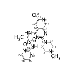 CC(Nc1nc(N2CCN(C)CC2)nc2cnc(Cl)cc12)S(=O)(=O)Nc1ncccn1